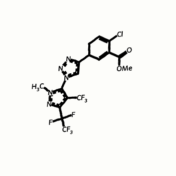 COC(=O)C1=CC(c2cn(-c3c(C(F)(F)F)c(C(F)(F)C(F)(F)F)nn3C)nn2)CC=C1Cl